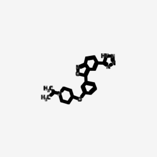 CC(C)N1CCC(Oc2cccc(-c3onc4ccc(-c5nnn[nH]5)cc34)c2)CC1